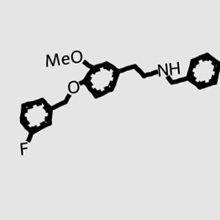 COc1cc(CCNCc2ccccc2)ccc1OCc1cccc(F)c1